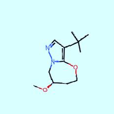 CO[C@@H]1CCOc2c(C(C)(C)C)cnn2C1